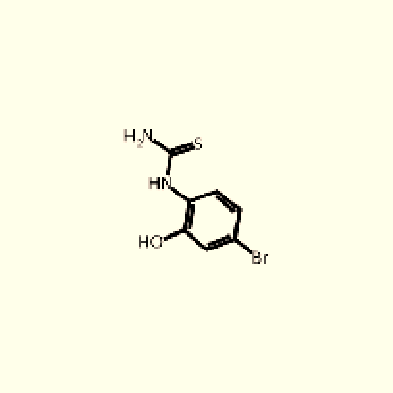 NC(=S)Nc1ccc(Br)cc1O